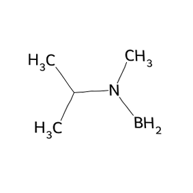 BN(C)C(C)C